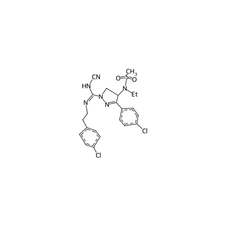 CCN(C1CN(C(=NCCc2ccc(Cl)cc2)NC#N)N=C1c1ccc(Cl)cc1)S(C)(=O)=O